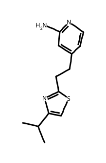 CC(C)c1csc(CCc2ccnc(N)c2)n1